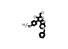 COc1ccc(-c2c(Cl)c(CCl)nc3sc4c(c23)CCN(Cc2ccccc2)C4)cc1